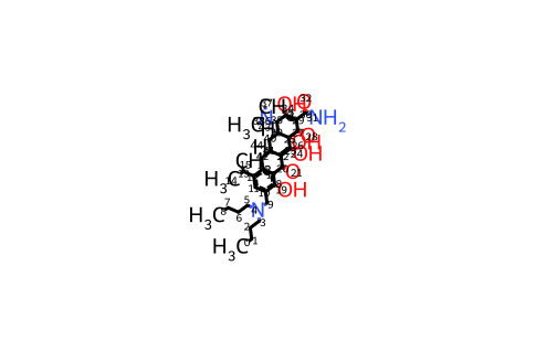 CCCCN(CCCC)Cc1cc(C(C)C)c2c(c1O)C(=O)C1=C(O)[C@]3(O)C(=O)C(C(N)=O)=C(O)[C@@H](N(C)C)[C@@H]3C[C@@H]1C2